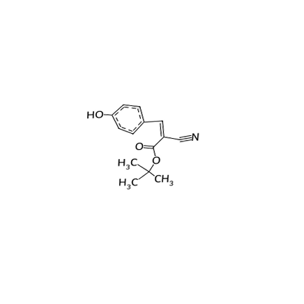 CC(C)(C)OC(=O)C(C#N)=Cc1ccc(O)cc1